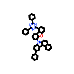 c1ccc(-c2ccc3c(c2)c2c4ccccc4ccc2n3-c2cccc3c2oc2cccc(-c4nc(-c5ccccc5)nc(-c5ccccc5)n4)c23)cc1